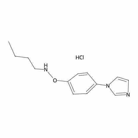 CCCCNOc1ccc(-n2ccnc2)cc1.Cl